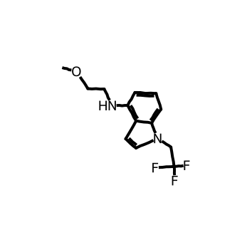 COCCNc1cccc2c1ccn2CC(F)(F)F